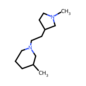 CC1CCCN(CCC2CCN(C)C2)C1